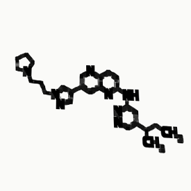 CCC(C)c1cnnc(Nc2ccc3ncc(-c4cnn(CCCN5CCCC5)c4)cc3n2)c1